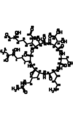 CC(=O)N(O)CCCC1NC(=O)C(CCCNC(N)=O)NC(=O)C(CCCN)NC(=O)C(CO)NC(=O)C(C(O)C(=O)O)NC(=O)C(C)C(C(CCCN(O)C=O)NC=O)OC1=O